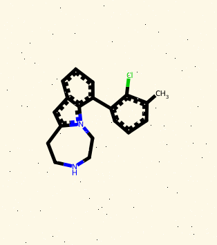 Cc1cccc(-c2cccc3cc4n(c23)CCNCC4)c1Cl